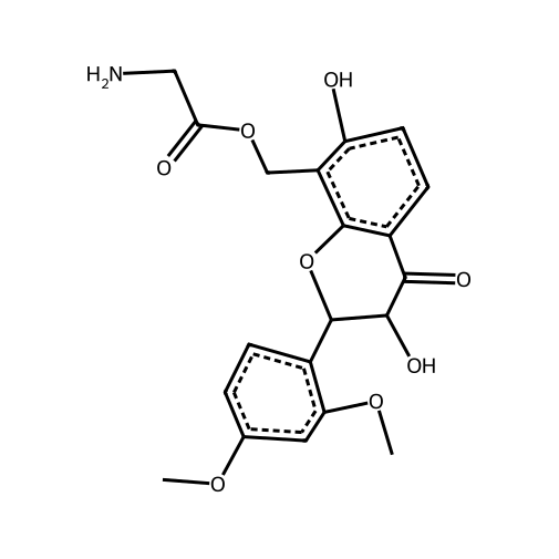 COc1ccc(C2Oc3c(ccc(O)c3COC(=O)CN)C(=O)C2O)c(OC)c1